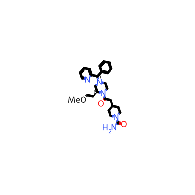 COCC[C@H]1CN([C@H](c2ccccc2)c2ccccn2)CCN1C(=O)CC1CCN(C(N)=O)CC1